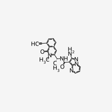 C#Cc1cccc2cc([C@@H](C)NC(=O)c3c(N)nn4cccnc34)n(C)c(=O)c12